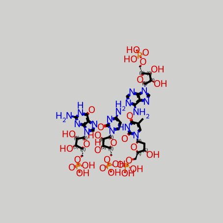 Cc1cn([C@H]2C[C@H](O)[C@@H](COP(=O)(O)O)O2)c(=O)[nH]c1=O.Nc1ccn([C@@H]2O[C@H](COP(=O)(O)O)[C@@H](O)[C@H]2O)c(=O)n1.Nc1nc2c(ncn2[C@@H]2O[C@H](COP(=O)(O)O)[C@@H](O)[C@H]2O)c(=O)[nH]1.Nc1ncnc2c1ncn2[C@@H]1O[C@H](COP(=O)(O)O)[C@@H](O)[C@H]1O